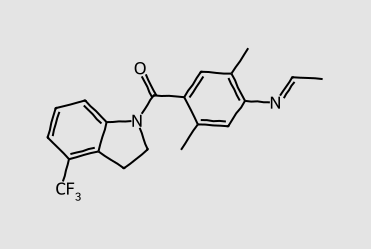 C/C=N/c1cc(C)c(C(=O)N2CCc3c2cccc3C(F)(F)F)cc1C